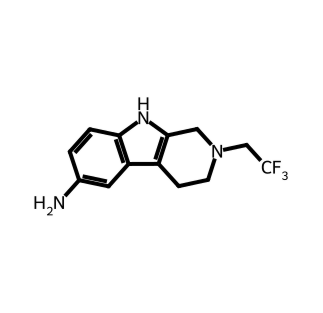 Nc1ccc2[nH]c3c(c2c1)CCN(CC(F)(F)F)C3